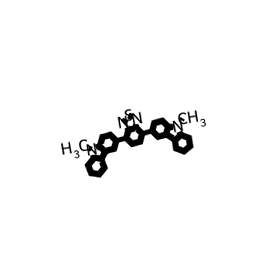 Cn1c2ccccc2c2cc(-c3ccc(-c4ccc5c(c4)c4ccccc4n5C)c4nsnc34)ccc21